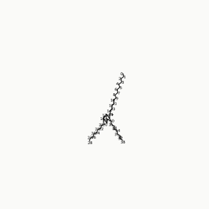 CCCCCCCCCCCCCCCC[n+]1ccn(CCCCCCCCC)c1CCCCCCCCC